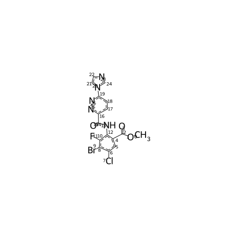 COC(=O)c1cc(Cl)c(Br)c(F)c1NC(=O)c1ccc(-n2ccnc2)nn1